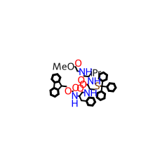 COC(=O)CNC(=O)C(NC(=O)C(CSC(c1ccccc1)(c1ccccc1)c1ccccc1)NC(=O)C(Cc1ccccc1)NC(=O)OCC1c2ccccc2-c2ccccc21)C(C)C